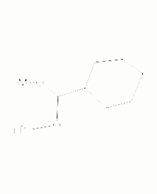 CCCOC(OC)C1CCCCC1